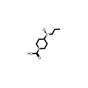 CCC[S+]([O-])C1CCN(C(=O)O)CC1